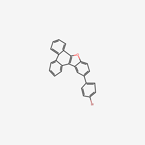 Brc1ccc(-c2ccc3oc4c5ccccc5c5ccccc5c4c3c2)cc1